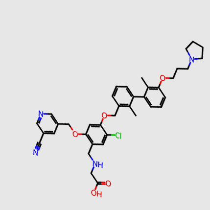 Cc1c(COc2cc(OCc3cncc(C#N)c3)c(CNCC(=O)O)cc2Cl)cccc1-c1cccc(OCCCN2CCCC2)c1C